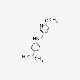 COc1ccc(CNc2ccc(C(C)C)cc2)cn1